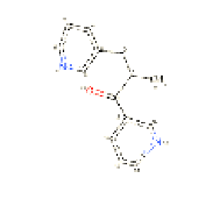 CC(Cc1cccnc1)C(=O)c1cccnc1